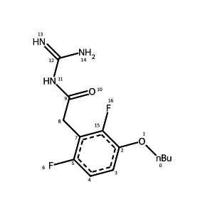 CCCCOc1ccc(F)c(CC(=O)NC(=N)N)c1F